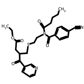 CCCCC(=O)N(CCSCC(CC(=O)OCC)C(=O)c1cccnc1)C(=O)c1ccc(C#N)cc1